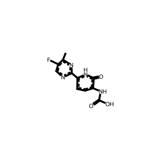 Cc1nc(-c2ccc(NC(=O)O)c(=O)[nH]2)ncc1F